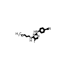 COCCCNc1nc(Nc2ccc(C#N)cc2)ncc1I